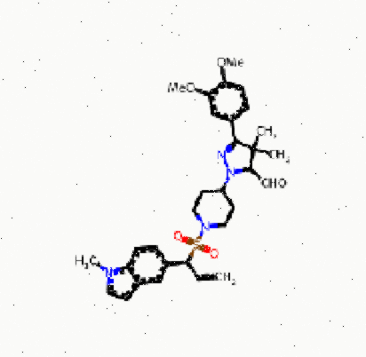 C=CC(c1ccc2c(ccn2C)c1)S(=O)(=O)N1CCC(N2N=C(c3ccc(OC)c(OC)c3)C(C)(C)C2C=O)CC1